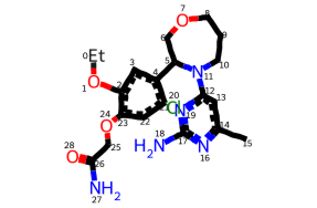 CCOc1cc(C2COCCCN2c2cc(C)nc(N)n2)c(Cl)cc1OCC(N)=O